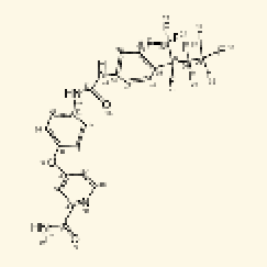 CNC(=O)c1cc(Oc2ccc(NC(=O)Nc3ccc(C(F)(C(F)(F)F)C(F)(F)C(F)(F)F)cc3)cc2)ccn1